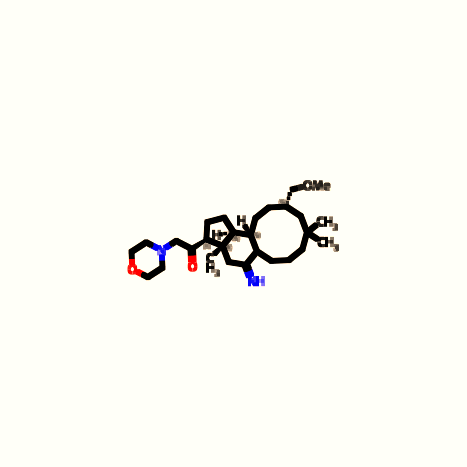 COC[C@H]1CC[C@@H]2C(CCCC(C)(C)C1)C(=N)C[C@]1(C)[C@@H](C(=O)CN3CCOCC3)CC[C@@H]21